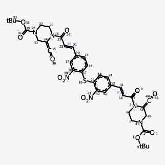 CC(C)(C)OC(=O)N1CCN(C(=O)/C=C/c2ccc(Sc3ccc(/C=C/C(=O)N4CCN(C(=O)OC(C)(C)C)CC4=C=O)cc3[N+](=O)[O-])c([N+](=O)[O-])c2)C(=C=O)C1